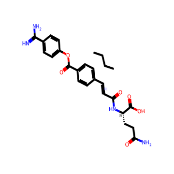 CCCC.N=C(N)c1ccc(OC(=O)c2ccc(/C=C/C(=O)N[C@@H](CCC(N)=O)C(=O)O)cc2)cc1